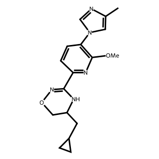 COc1nc(C2=NOCC(CC3CC3)N2)ccc1-n1cnc(C)c1